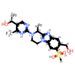 CCC[C@H](O)c1cnc(N2CCn3c(nc4cc(CO)c(S(C)(=O)=O)cc43)C2C(C)C)nc1C(F)(F)F